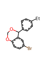 CCc1ccc(C2OCOc3ccc(Br)cc32)cc1